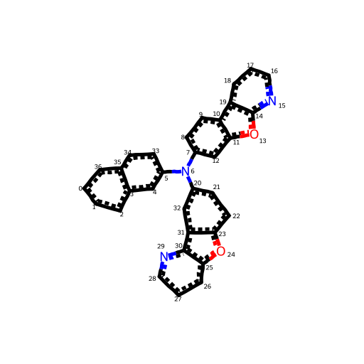 c1ccc2cc(N(c3ccc4c(c3)oc3ncccc34)c3ccc4oc5cccnc5c4c3)ccc2c1